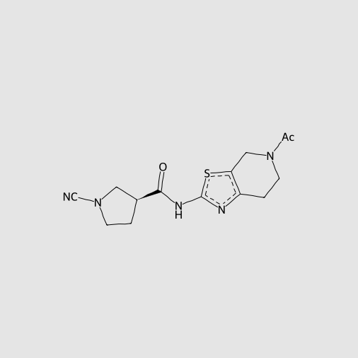 CC(=O)N1CCc2nc(NC(=O)[C@H]3CCN(C#N)C3)sc2C1